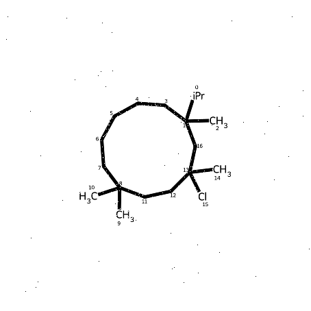 CC(C)C1(C)CCCCCC(C)(C)CCC(C)(Cl)C1